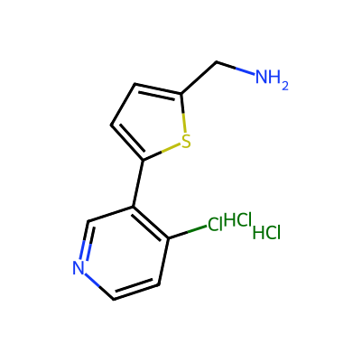 Cl.Cl.NCc1ccc(-c2cnccc2Cl)s1